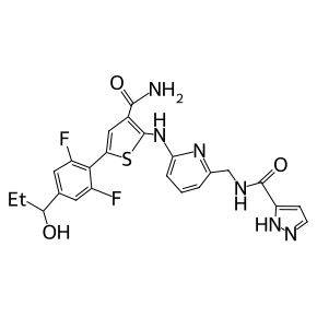 CCC(O)c1cc(F)c(-c2cc(C(N)=O)c(Nc3cccc(CNC(=O)c4ccn[nH]4)n3)s2)c(F)c1